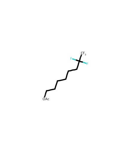 CC(=O)OCCCCCCC(F)(F)C(F)(F)F